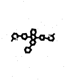 Cc1cccc(-c2ccc(-c3c4ccccc4c(-c4ccc(-c5cccc(C)n5)cc4)c4cc(-c5ccccc5)ccc34)cc2)n1